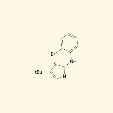 CC(C)(C)c1cnc(Nc2ccccc2Br)s1